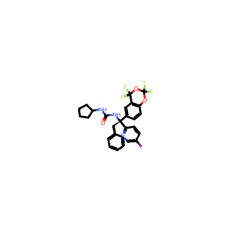 O=C(NC1CCCC1)N[C@](Cc1ccccc1)(c1ccc2c(c1)C(F)(F)OC(F)(F)O2)c1ccc(I)cn1